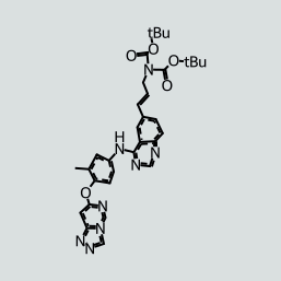 Cc1cc(Nc2ncnc3ccc(/C=C/CN(C(=O)OC(C)(C)C)C(=O)OC(C)(C)C)cc23)ccc1Oc1cc2nncn2cn1